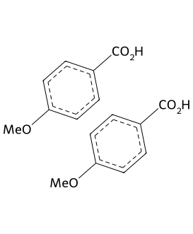 COc1ccc(C(=O)O)cc1.COc1ccc(C(=O)O)cc1